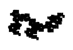 Nc1ncnc2c1ncn2C1OC(CO)CC1OP(=O)(S)OCC1CC(OP(=O)(S)OCC2OC(n3cnc4c(N)ncnc43)C(O)C2O)C(n2cnc3c(N)ncnc32)O1